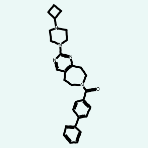 O=C(c1ccc(-c2ccccc2)cc1)N1CCc2cnc(N3CCN(C4CCC4)CC3)nc2CC1